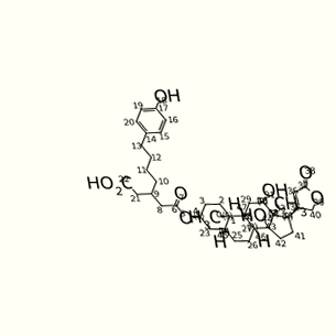 C[C@]12CC[C@H](OC(=O)CC(CCCCc3ccc(O)cc3)CC(=O)O)C[C@H]1CC[C@@H]1[C@@H]2C[C@@H](O)[C@]2(C)[C@@H](C3=CC(=O)OC3)CCC12O